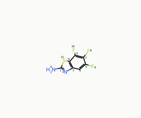 Nc1nc2cc(F)c(F)c(F)c2s1